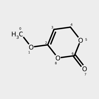 COC1=CCOC(=O)O1